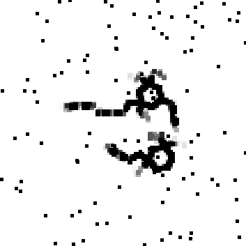 CC1(C)CC(N=C=O)CC(C)(CN=C=O)C1.CC1(C)CCCC(C)(CN=C=O)C1.N=C=O